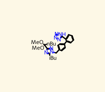 CCCCC(OC)(OC)c1nc(C(C)CC)n(Cc2ccc(-c3ccccc3-c3nnn[nH]3)cc2)n1